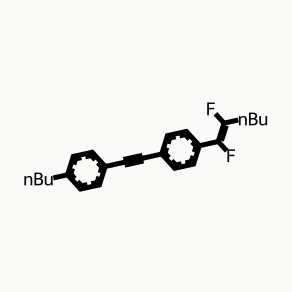 CCCC/C(F)=C(\F)c1ccc(C#Cc2ccc(CCCC)cc2)cc1